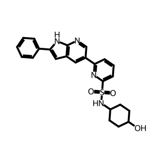 O=S(=O)(NC1CCC(O)CC1)c1cccc(-c2cnc3[nH]c(-c4ccccc4)cc3c2)n1